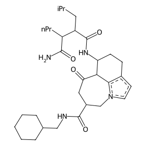 CCCC(C(N)=O)C(CC(C)C)C(=O)NC1CCc2ccn3c2C1C(=O)CC(C(=O)NCC1CCCCC1)C3